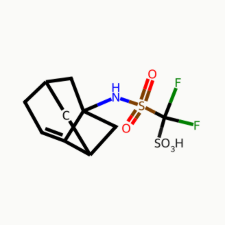 O=S(=O)(O)C(F)(F)S(=O)(=O)NC12CC3CC=C1C(C3)C2